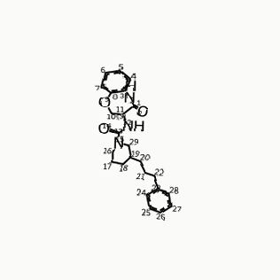 O=C1Nc2ccccc2OC[C@@H]1NC(=O)N1CCCC(CCCc2ccccc2)C1